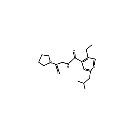 CCc1cnc(CC(C)C)cc1C(=O)NCC(=O)N1CCCC1